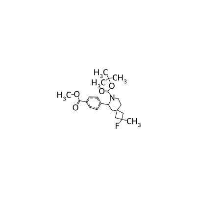 COC(=O)c1ccc(C2CC3(CCN2C(=O)OC(C)(C)C)CC(C)(F)C3)cc1